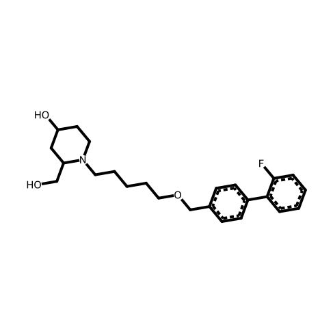 OCC1CC(O)CCN1CCCCCOCc1ccc(-c2ccccc2F)cc1